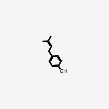 CC(C)=CCc1c[c]c(O)cc1